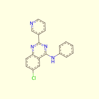 Clc1ccc2nc(-c3cccnc3)nc(Nc3ccccc3)c2c1